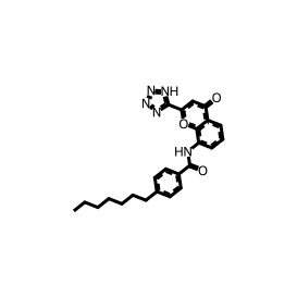 CCCCCCCc1ccc(C(=O)Nc2cccc3c(=O)cc(-c4nnn[nH]4)oc23)cc1